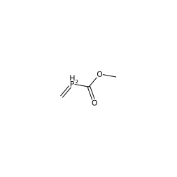 C=[PH2]C(=O)OC